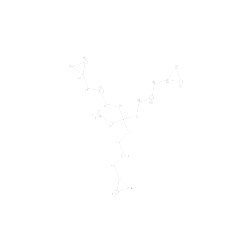 [SiH3]OC(CCOCC1CO1)(CCOCC1CO1)CCOCC1CO1